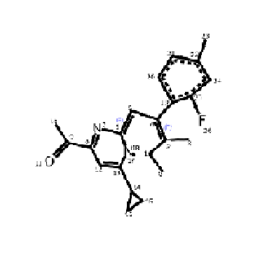 CC/C(C)=C(\C=C1\N=C(C(C)=O)C=C(C2CC2)N1C)c1ccc(C)cc1F